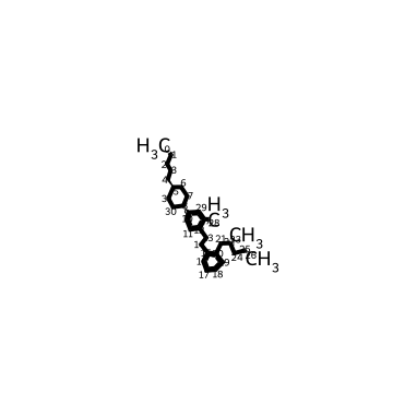 CCCCC[C@H]1CC[C@H](c2ccc(CCc3ccccc3CC(C)CCC)c(C)c2)CC1